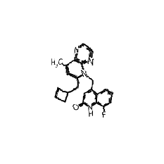 CC1=C=C(CC2CCC2)N(Cc2cc(=O)[nH]c3c(F)cccc23)c2nccnc21